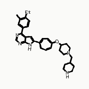 CCc1ccc(-c2ncnc3[nH]c(C4=CC=C(OC5CCN(CC6CCNCC6)CC5)C=CC4)cc23)cc1C